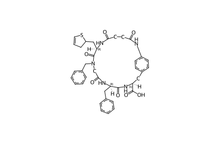 O=C1CCC(=O)N[C@H](CC2CC=CS2)C(=O)N(Cc2ccccc2)CC(=O)N[C@H](Cc2ccccc2)C(=O)N[C@H](C(=O)O)Cc2ccc(cc2)N1